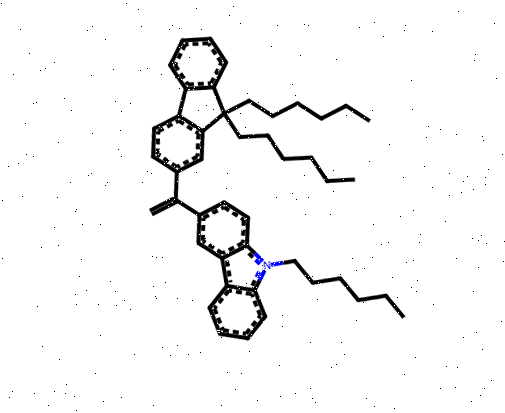 C=C(c1ccc2c(c1)C(CCCCCC)(CCCCCC)c1ccccc1-2)c1ccc2c(c1)c1ccccc1n2CCCCCC